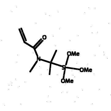 C=CC(=O)N(C)C(C)(C)[Si](OC)(OC)OC